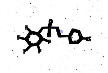 O=S(=O)(/C=C/c1ccc(Cl)cc1)Cc1c(F)c(F)c(F)c(F)c1F